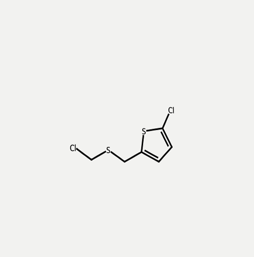 ClCSCc1ccc(Cl)s1